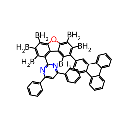 Bc1c(-c2ccc3c4ccccc4c4ccccc4c3c2)c(B)c2c(oc3c(B)c(B)c(B)c(-c4nc(-c5ccccc5)cc(-c5ccccc5)n4)c32)c1B